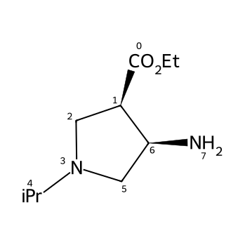 CCOC(=O)[C@@H]1CN(C(C)C)C[C@@H]1N